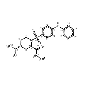 O=C(NO)[C@H]1CN(C(=O)O)CCN1S(=O)(=O)c1ccc(Oc2ccccn2)cc1